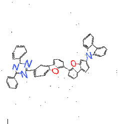 c1ccc(-c2nc(-c3ccccc3)nc(-c3ccc4oc5c(-c6cccc7c6oc6cc(-n8c9ccccc9c9ccccc98)ccc67)cccc5c4c3)n2)cc1